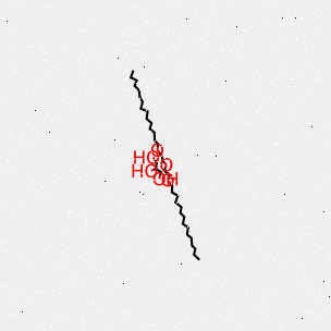 CCCCCCCCCCCCCCCOCCOCCOCCCCCCCCCCCCCCC.OCC(O)CO